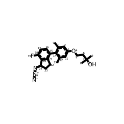 Cc1cc(OCCC(C)(C)O)cc(C)c1-c1ccc(F)c2c1CCC2N=[N+]=[N-]